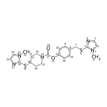 Cn1ccnc1SCc1ccc(OC(=O)N2CCC(Sc3nccn3C)CC2)cc1